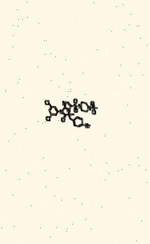 C[C@@]1(Cc2ccc(Br)cc2)C(=O)N(c2cc(Cl)cc(Cl)c2)c2ncc(S(=O)(=O)N3CCN(S(C)(=O)=O)CC3)n21